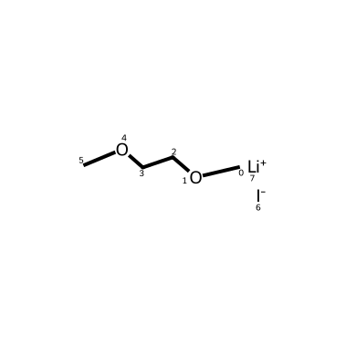 COCCOC.[I-].[Li+]